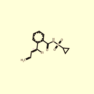 C=C/C=C(\CC)c1ccccc1C(=O)NS(=O)(=O)C1CC1